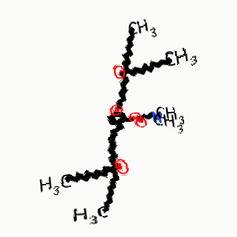 CCCCCCCCCCC(CCCCCCCCCC)C(=O)CCCCCCCCc1ccc(OCCCCCCCC(=O)C(CCCCCCCCCC)CCCCCCCCCC)cc1COC(=O)CCCN(C)C